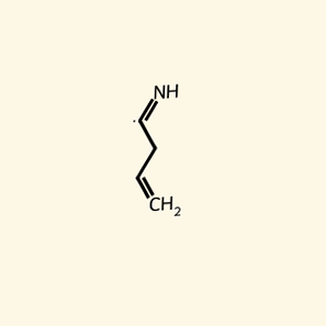 C=CC[C]=N